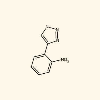 O=[N+]([O-])c1ccccc1C1=C[N]N=N1